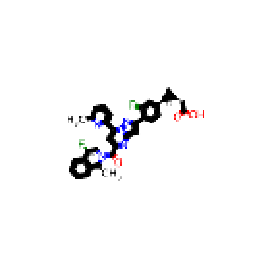 Cc1cccc(-c2cc(C(=O)N3C[C@H](F)c4ccccc4[C@H]3C)nc3cc(-c4ccc([C@H]5C[C@@H]5CC(=O)O)cc4F)nn23)n1